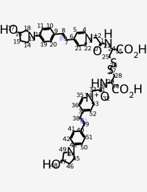 O=C(C[n+]1ccc(/C=C/c2ccc(N3CCC(O)C3)cc2)cc1)NC(CSSCC(NC(=O)C[n+]1ccc(/C=C/c2ccc(N3CCC(O)C3)cc2)cc1)C(=O)O)C(=O)O